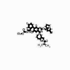 CN(C)C(=O)n1cc2c(n1)CCCN(c1nc(OCC34CCCN3C/C(=C\F)C4)nc3c(F)c(-c4ccc(F)c5sc(NC(=O)OC(C)(C)C)c(C#N)c45)c(Cl)cc13)C2